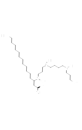 CCCCCCCCCCCCCC(CC(N)=O)N(C)CCCN(C)CCCCN(C)CCCC